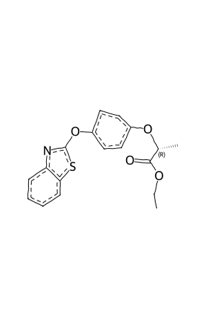 CCOC(=O)[C@@H](C)Oc1ccc(Oc2nc3ccccc3s2)cc1